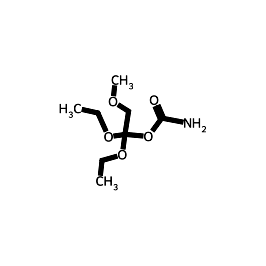 CCOC(COC)(OCC)OC(N)=O